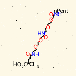 CCCCCNC(=O)COCCOCCNC(=O)COCCOCCNC(=O)CC[C@H](C)C(=O)O